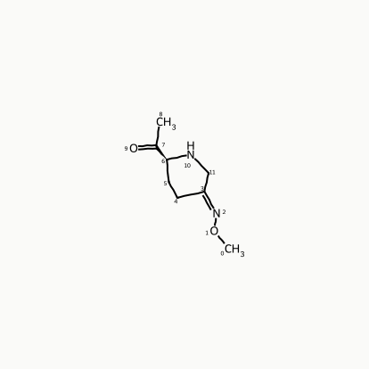 CON=C1CC[C@@H](C(C)=O)NC1